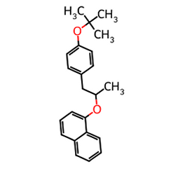 CC(Cc1ccc(OC(C)(C)C)cc1)Oc1cccc2ccccc12